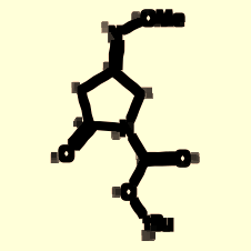 CON=C1CC(=O)N(C(=O)OC(C)(C)C)C1